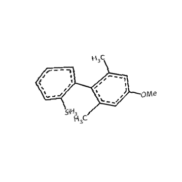 COc1cc(C)c(-c2ccccc2[SiH3])c(C)c1